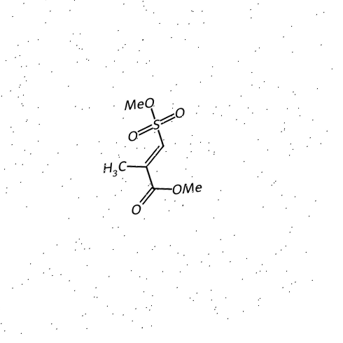 COC(=O)C(C)=CS(=O)(=O)OC